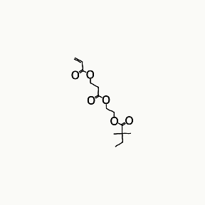 C=CC(=O)OCCC(=O)OCCOC(=O)C(C)(C)CC